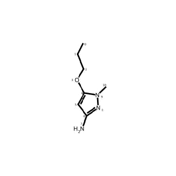 CCCOc1cc(N)nn1C